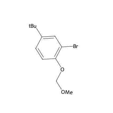 COCOc1ccc(C(C)(C)C)cc1Br